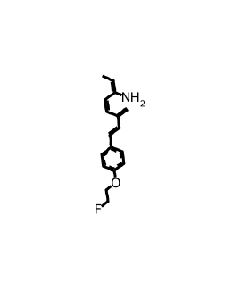 C=C(/C=C\C(N)=C/C)/C=C/c1ccc(OCCF)cc1